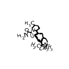 CC1CCC(c2ccc3c(c2)CCN(C)C3(C)C)N(C(=O)C(N)=O)C1